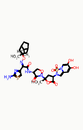 CC1(C)C2CCC1CC(O/N=C(\C(=O)N[C@H]1CON(C3(C(=O)O)CC(N4C=C5C=C(O)C(O)=CN5S4(=O)=O)C(=O)O3)C1=O)c1csc(N)n1)(C(=O)O)C2